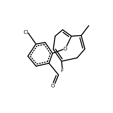 CC1=C/C/C(F)=C\C\C=C\1Oc1cc(Cl)ccc1C=O